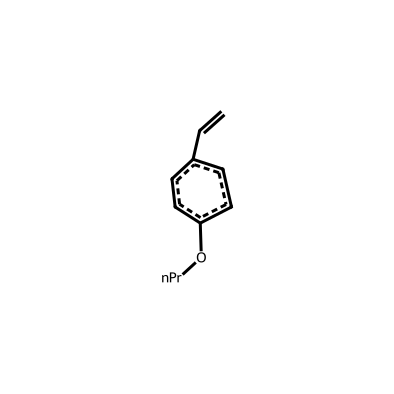 [CH2]CCOc1ccc(C=C)cc1